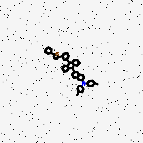 CC1=CCC(N(c2ccc(C)cc2)c2ccc3cc(-c4c5ccccc5c(-c5cccc(-c6ccc(-c7ccccc7)s6)c5)c5ccccc45)ccc3c2)C=C1